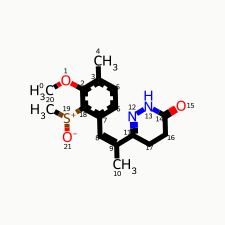 COc1c(C)ccc(C=C(C)C2=NNC(=O)CC2)c1[S+](C)[O-]